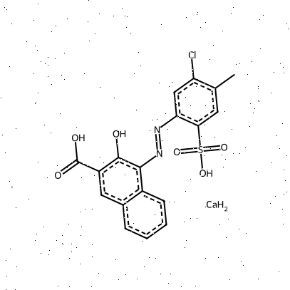 Cc1cc(S(=O)(=O)O)c(N=Nc2c(O)c(C(=O)O)cc3ccccc23)cc1Cl.[CaH2]